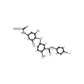 CCOC(=O)C(=O)Nc1cc(Cl)c(Oc2ccc(O)c(C(=O)Nc3ccc(F)cc3)c2)c(Cl)c1